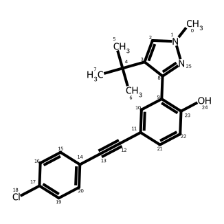 Cn1cc(C(C)(C)C)c(-c2cc(C#Cc3ccc(Cl)cc3)ccc2O)n1